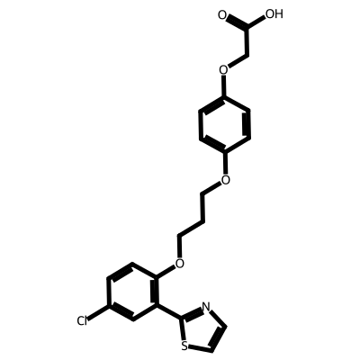 O=C(O)COc1ccc(OCCCOc2ccc(Cl)cc2-c2nccs2)cc1